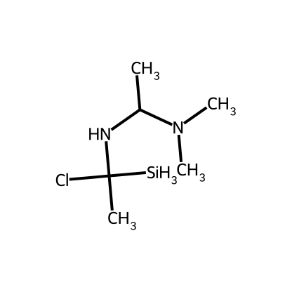 CC(NC(C)([SiH3])Cl)N(C)C